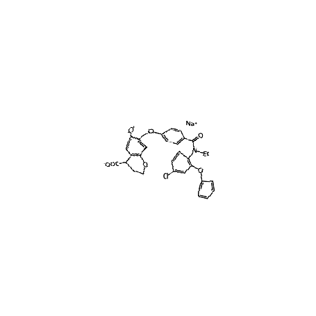 CCN(C(=O)c1ccc(Oc2cc3c(cc2Cl)C(C(=O)[O-])CCO3)cc1)c1ccc(Cl)cc1Oc1ccccc1.[Na+]